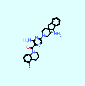 Nc1nc(N2CCC3(CC2)Cc2ccccc2[C@H]3N)cnc1C(=O)N1CCCc2c(Cl)cccc21